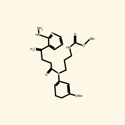 C=C(CCC(=O)N(CCCNC(=O)OC(C)(C)C)C1=CCCC(OC)=C1)c1cccnc1NN